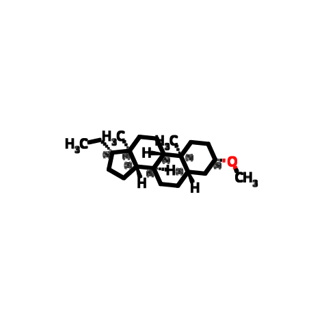 CC[C@H]1CC[C@H]2[C@@H]3CC[C@H]4C[C@@H](OC)CC[C@]4(C)[C@H]3CC[C@]12C